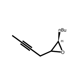 CC#CCC1O[C@@H]1CCCC